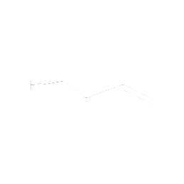 [C]CCCC=C